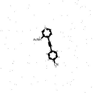 CC(=O)Nc1cnccc1C#Cc1ccc(C#N)cc1